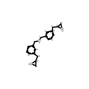 c1cc(COCc2cccc(CC3CO3)c2)cc(CC2CO2)c1